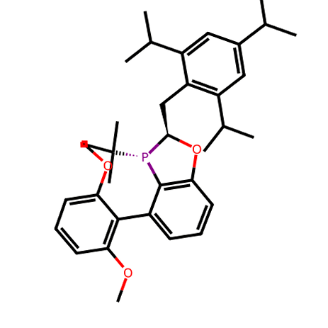 COc1cccc(OC)c1-c1cccc2c1[P@](C(C)(C)C)[C@@H](Cc1c(C(C)C)cc(C(C)C)cc1C(C)C)O2